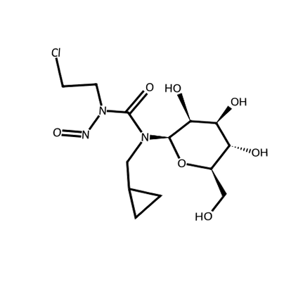 O=NN(CCCl)C(=O)N(CC1CC1)[C@@H]1O[C@H](CO)[C@@H](O)[C@H](O)[C@@H]1O